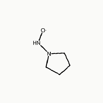 [O]NN1CCCC1